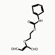 O=C/C=C(/C=O)OCCOC(=O)Nc1ccccc1